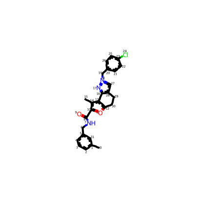 Cc1cccc(CNC(=O)c2oc3c(c2C)-c2nn(Cc4ccc(Cl)cc4)cc2CC3)c1